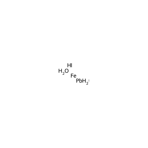 I.O.[Fe].[PbH2]